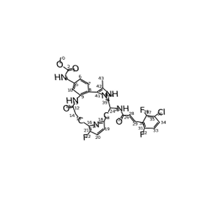 COC(=O)Nc1ccc2c(c1)NC(=O)CCc1nc(ccc1F)CC(NC(=O)/C=C/c1c(F)ccc(Cl)c1F)c1nc-2c(C)[nH]1